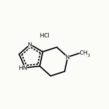 CN1CCc2[nH]cnc2C1.Cl